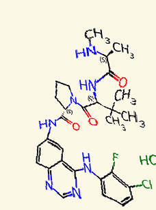 CN[C@@H](C)C(=O)N[C@H](C(=O)N1CCC[C@H]1C(=O)Nc1ccc2ncnc(Nc3cccc(Cl)c3F)c2c1)C(C)(C)C.Cl